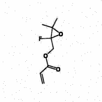 C=CC(=O)OCC1(F)OC1(C)C